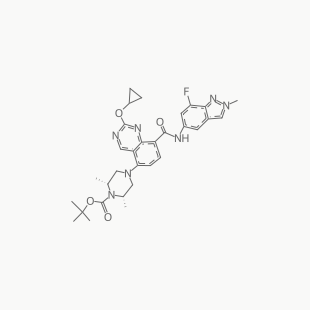 C[C@@H]1CN(c2ccc(C(=O)Nc3cc(F)c4nn(C)cc4c3)c3nc(OC4CC4)ncc23)C[C@H](C)N1C(=O)OC(C)(C)C